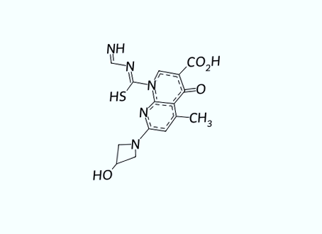 Cc1cc(N2CC(O)C2)nc2c1c(=O)c(C(=O)O)cn2/C(S)=N/C=N